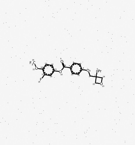 CCCC1(COc2ccc(C(=O)Oc3ccc(OC(F)(F)F)c(F)c3)cc2)COC1